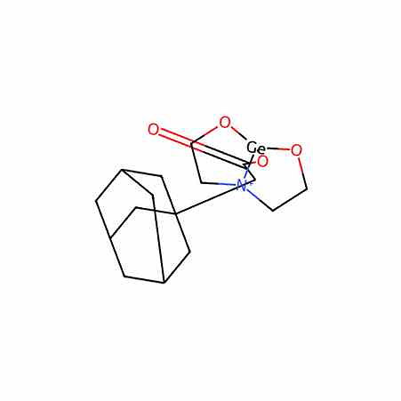 O=C1[O][Ge]23[O]CC[N+]2(CC[O]3)C1C12CC3CC(CC(C3)C1)C2